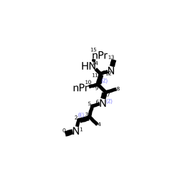 C=N/C=C(\C)C/N=C(C)\C(CCC)=C(/N=C)NCCC